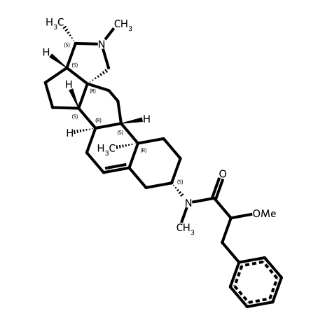 COC(Cc1ccccc1)C(=O)N(C)[C@H]1CC[C@@]2(C)C(=CC[C@H]3[C@@H]4CC[C@@H]5[C@H](C)N(C)C[C@@]54CC[C@@H]32)C1